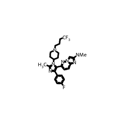 CNc1cn2nc(-c3c(-c4ccc(F)cc4)nc(C)n3C3CCN(CCCC(F)(F)F)CC3)ccc2n1